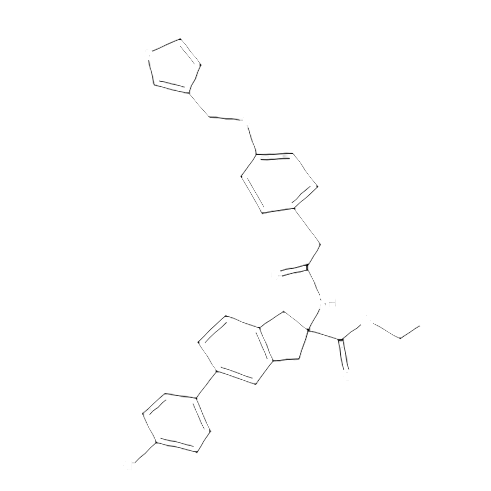 CCOC(=O)C1(NC(=O)Cc2ccc(OCc3ccsc3)cc2)Cc2ccc(-c3ccc(Cl)cc3)cc2C1